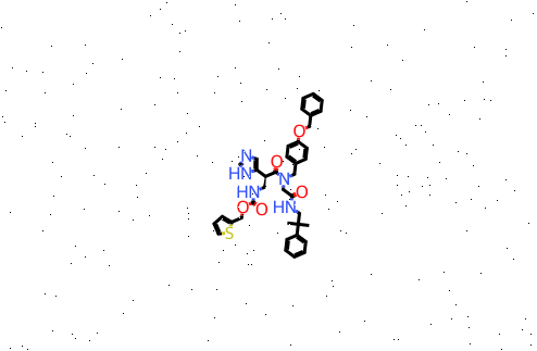 CC(C)(CNC(=O)CN(Cc1ccc(OCc2ccccc2)cc1)C(=O)[C@@H](CNC(=O)OCc1cccs1)c1cnc[nH]1)c1ccccc1